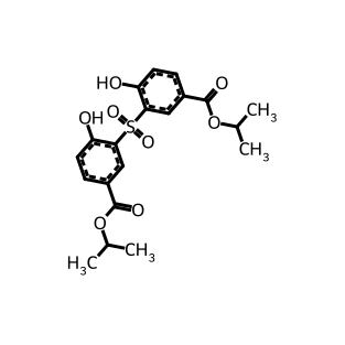 CC(C)OC(=O)c1ccc(O)c(S(=O)(=O)c2cc(C(=O)OC(C)C)ccc2O)c1